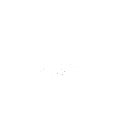 COc1cc(-c2nccc(-c3cccc(-c4cc(Cl)c(CN(C[C@@H]5CCC(=O)N5)C(=O)OC(C)(C)C)c(OC)n4)c3Cl)c2Cl)ccc1CN(C)C[C@H](C)O